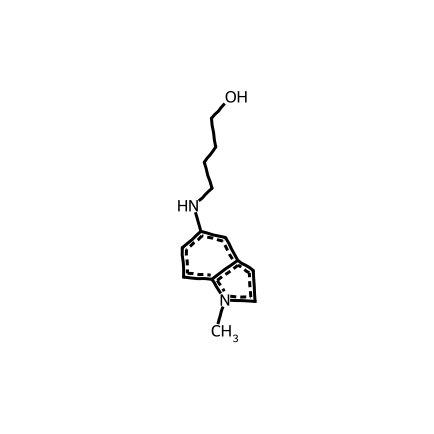 Cn1ccc2cc(NCCCCO)ccc21